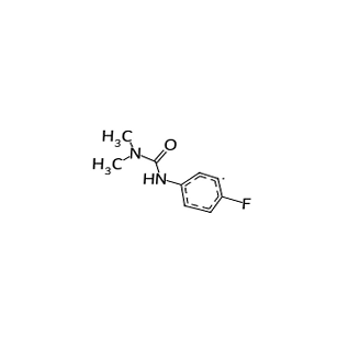 CN(C)C(=O)Nc1c[c]c(F)cc1